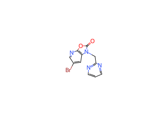 O=c1oc2ncc(Br)cc2n1Cc1ncccn1